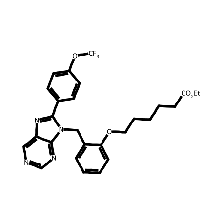 CCOC(=O)CCCCCOc1ccccc1Cn1c(-c2ccc(OC(F)(F)F)cc2)nc2cncnc21